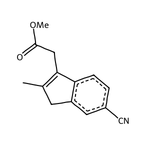 COC(=O)CC1=C(C)Cc2cc(C#N)ccc21